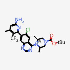 Cc1cc(N)nc(-c2cc3ncnc(N4C(C)CN(C(=O)OC(C)(C)C)C[C@@H]4C)c3cc2Cl)c1C(F)(F)F